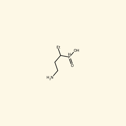 CCC(CCN)[PH](=O)O